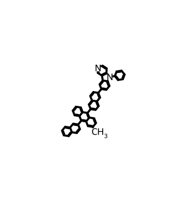 Cc1ccc2c(-c3ccc4cc(-c5ccc6c(c5)c5cnccc5n6-c5ccccc5)ccc4c3)c3ccccc3c(-c3ccc4ccccc4c3)c2c1